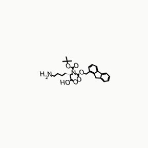 CC(C)(C)OC(=O)N(C(=O)OCc1cccc2c1Cc1ccccc1-2)[C@@H](CCCCN)C(=O)O